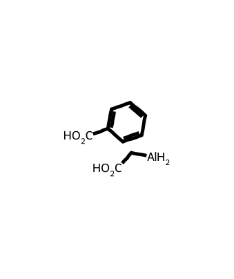 O=C(O)[CH2][AlH2].O=C(O)c1ccccc1